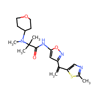 C=C(c1cc(NC(=O)C(C)(C)N(C)C2CCOCC2)on1)c1cnc(C)s1